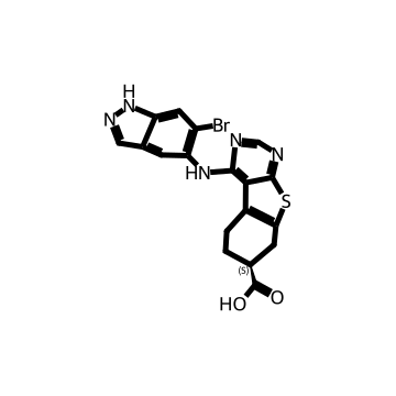 O=C(O)[C@H]1CCc2c(sc3ncnc(Nc4cc5cn[nH]c5cc4Br)c23)C1